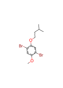 COc1cc(Br)c(OCCC(C)C)cc1Br